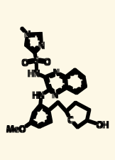 COc1ccc(CC2CCC(O)CC2)c(Nc2nc3ccccc3nc2NS(=O)(=O)c2cn(C)cn2)c1